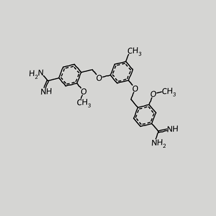 COc1cc(C(=N)N)ccc1COc1cc(C)cc(OCc2ccc(C(=N)N)cc2OC)c1